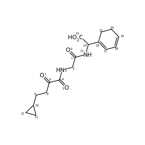 O=C(CNC(=O)C(=O)CCC1CC1)NC(C(=O)O)C1=CC=CCC1